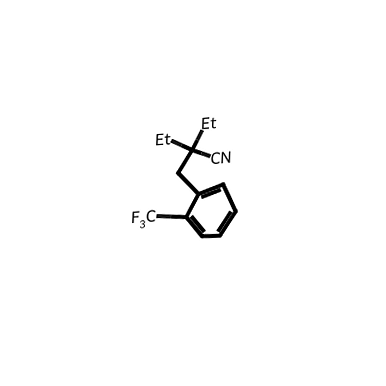 CCC(C#N)(CC)Cc1ccccc1C(F)(F)F